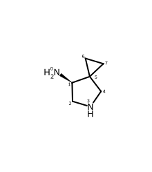 N[C@@H]1CNCC12CC2